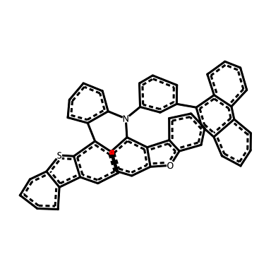 c1cc(-c2cc3ccccc3c3ccccc23)cc(N(c2ccccc2-c2cccc3c2sc2ccccc23)c2cccc3oc4ccccc4c23)c1